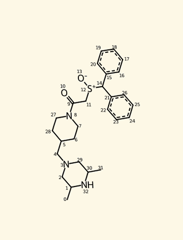 CC1CN(CC2CCN(C(=O)C[S+]([O-])C(c3ccccc3)c3ccccc3)CC2)CC(C)N1